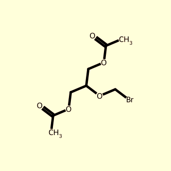 CC(=O)OCC(COC(C)=O)OCBr